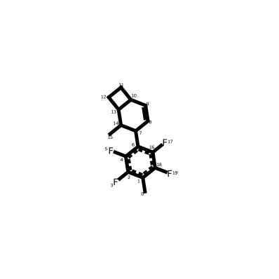 Cc1c(F)c(F)c(C2C=CC3CCC3C2C)c(F)c1F